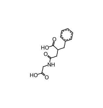 O=C(O)CNC(=O)CC(Cc1ccccc1)C(=O)O